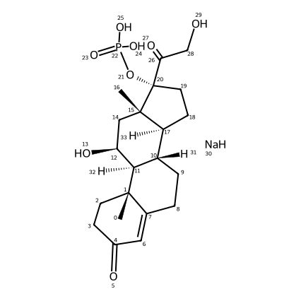 C[C@]12CCC(=O)C=C1CC[C@@H]1[C@@H]2[C@@H](O)C[C@@]2(C)[C@H]1CC[C@]2(OP(=O)(O)O)C(=O)CO.[NaH]